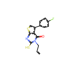 C=CCn1c(S)nc2scc(-c3ccc(F)cc3)c2c1=O